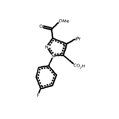 COC(=O)c1nn(-c2ccc(F)cc2)c(C(=O)O)c1C(C)C